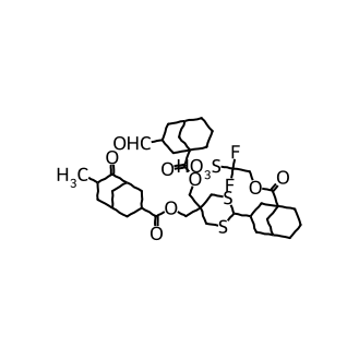 CC1CC2CC(C(=O)OCC3(COC(=O)C45CCCC(CC(C=O)C4)C5)CSC(C4CC5CCCC(C(=O)OCC(F)(F)S(=O)(=O)O)(C5)C4)SC3)CC(C2)C1=O